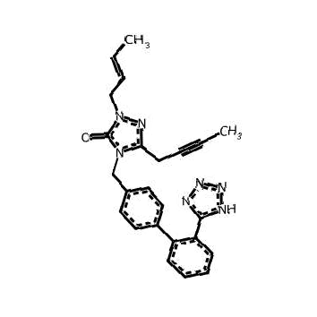 CC#CCc1nn(CC=CC)c(=O)n1Cc1ccc(-c2ccccc2-c2nnn[nH]2)cc1